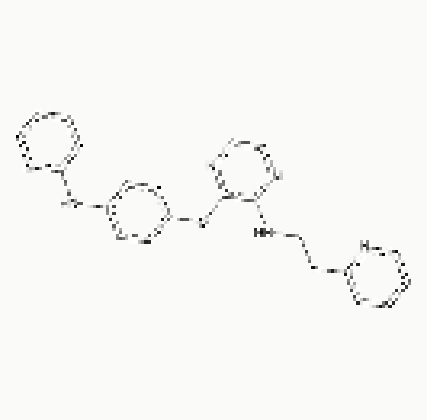 c1ccc(CCNc2nccnc2Oc2ccc(Nc3ccccn3)cc2)nc1